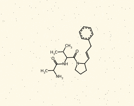 CC(N)C(=O)NC(C(=O)N1CCCC1/C=C/Cc1ccccc1)C(C)C